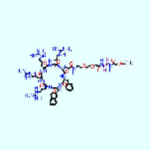 CCOCC(=O)NPPNC(=O)COCCOCCNC(=O)CC[C@@H]1NC(=O)[C@@H](CCCNC(=N)N)NC(=O)[C@H](CCCNC(=N)N)NC(=O)[C@@H](CCCNC(=N)N)NC(=O)[C@H](CCCNC(=N)N)NC(=O)[C@H](Cc2ccc3ccccc3c2)NC(=O)[C@@H](Cc2ccccc2)NC1=O